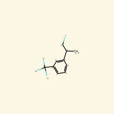 C[C](CF)c1cccc(C(F)(F)F)c1